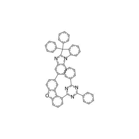 c1ccc(-c2nc(-c3ccccc3)nc(-c3cccc4oc5ccc(-c6ccc7c(c6)nc6n7-c7ccccc7C6(c6ccccc6)c6ccccc6)cc5c34)n2)cc1